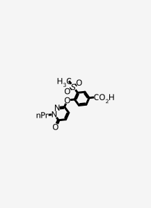 CCCn1nc(Oc2ccc(C(=O)O)cc2S(C)(=O)=O)ccc1=O